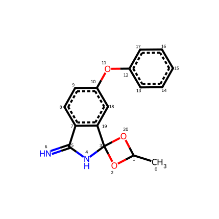 CC1OC2(NC(=N)c3ccc(Oc4ccccc4)cc32)O1